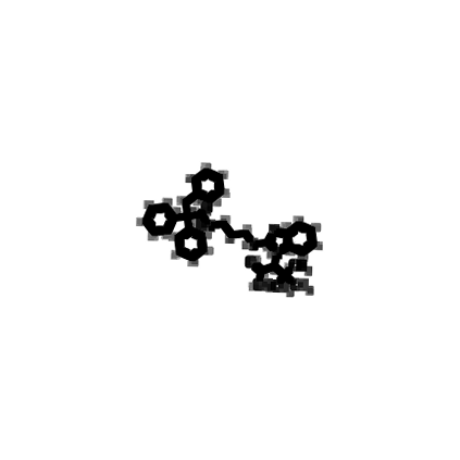 CC(C)(C)C(C(=O)O)n1c(SCCCNC(=O)C(Cc2ccccc2)(c2ccccc2)c2ccccc2)nc2ccccc21